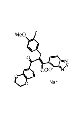 COc1ccc(CC(C(=O)c2ccc3c(c2)OCCO3)=C(C(=O)[O-])c2ccc3nsnc3c2)cc1F.[Na+]